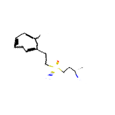 N=S(=O)(CCc1ccccc1C(F)(F)F)CC[C@H](N)C(=O)O